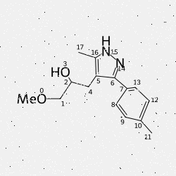 COCC(O)Cc1c(-c2c[c]c(C)cc2)n[nH]c1C